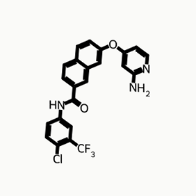 Nc1cc(Oc2ccc3ccc(C(=O)Nc4ccc(Cl)c(C(F)(F)F)c4)cc3c2)ccn1